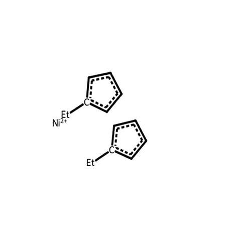 CC[c-]1cccc1.CC[c-]1cccc1.[Ni+2]